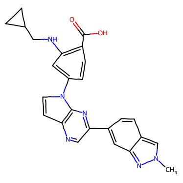 Cn1cc2ccc(-c3cnc4ccn(-c5ccc(C(=O)O)c(NCC6CC6)c5)c4n3)cc2n1